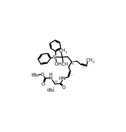 C/C=C\C[C@@H](C/C=C\NC(=O)[C@@H](NC(=O)OC(C)(C)C)C(C)(C)C)CC(C)(C)[Si](O)(c1ccccc1)c1ccccc1